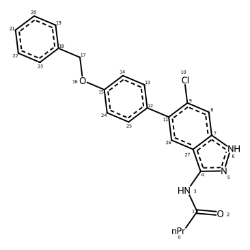 CCCC(=O)Nc1n[nH]c2cc(Cl)c(-c3ccc(OCc4ccccc4)cc3)cc12